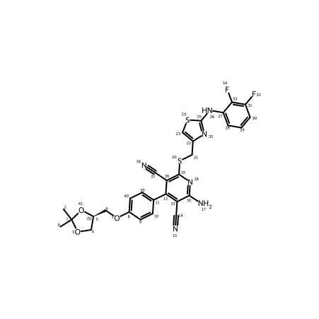 CC1(C)OC[C@H](COc2ccc(-c3c(C#N)c(N)nc(SCc4csc(Nc5cccc(F)c5F)n4)c3C#N)cc2)O1